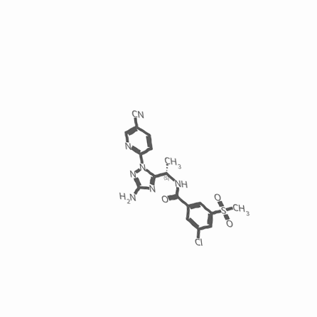 C[C@H](NC(=O)c1cc(Cl)cc(S(C)(=O)=O)c1)c1nc(N)nn1-c1ccc(C#N)cn1